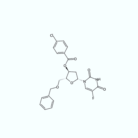 O=C(O[C@H]1C[C@H](n2cc(F)c(=O)[nH]c2=O)O[C@@H]1COCc1ccccc1)c1ccc(Cl)cc1